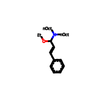 CCCCCCCCN(CCCCCCCC)C(C=Cc1ccccc1)OCC